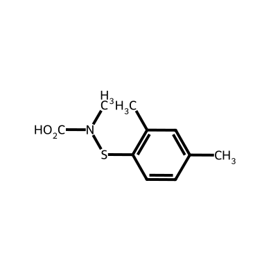 Cc1ccc(SN(C)C(=O)O)c(C)c1